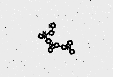 c1ccc(-n2c3ccccc3c3cc(-c4ccc5c(c4)c4ccccc4n5-c4ccc(-n5c(-c6cccc(-c7ccccn7)c6)nc6ccccc65)cc4)ccc32)cc1